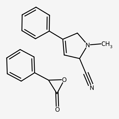 CN1CC(c2ccccc2)=CC1C#N.O=C1OC1c1ccccc1